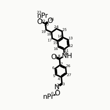 CCCO/N=C/c1ccc(C(=O)Nc2ccc3c(c2)CC(CC(=O)OCCC)CC3)cc1